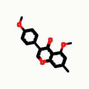 COc1ccc(-c2coc3cc(C)cc(OC)c3c2=O)cc1